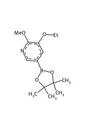 CCOc1cc(B2OC(C)(C)C(C)(C)O2)cnc1OC